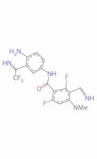 CNc1cc(F)c(C(=O)Nc2ccc(N)c(C(=N)C(F)(F)F)c2)c(F)c1C=N